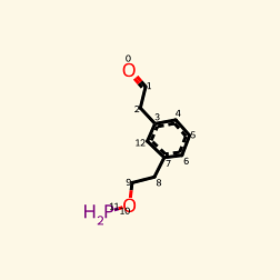 O=CCc1cccc(CCOP)c1